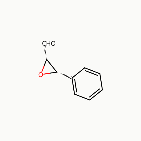 O=C[C@H]1O[C@H]1c1ccccc1